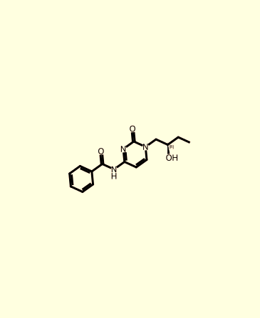 CC[C@@H](O)Cn1ccc(NC(=O)c2ccccc2)nc1=O